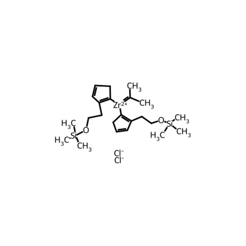 C[C](C)=[Zr+2]([C]1=C(CCO[Si](C)(C)C)C=CC1)[C]1=C(CCO[Si](C)(C)C)C=CC1.[Cl-].[Cl-]